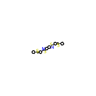 c1ccc(-c2cc3ccc(-c4nc5cc6cc7sc(-c8ccc9cc(-c%10ccccc%10)sc9c8)nc7cc6cc5s4)cc3s2)cc1